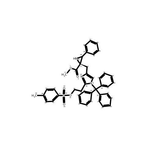 COC(=O)[C@]1(Cc2cn(C(c3ccccc3)(c3ccccc3)c3ccccc3)c(CCOS(=O)(=O)c3ccc(C)cc3)n2)NC1c1ccccc1